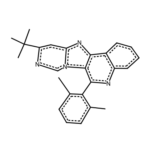 Cc1cccc(C)c1-c1nc2ccccc2c2nc3cc(C(C)(C)C)ncn3c12